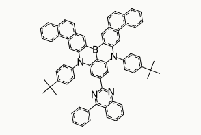 CC(C)(C)c1ccc(N2c3cc4c(ccc5ccccc54)cc3B3c4cc5ccc6ccccc6c5cc4N(c4ccc(C(C)(C)C)cc4)c4cc(-c5nc(-c6ccccc6)c6ccccc6n5)cc2c43)cc1